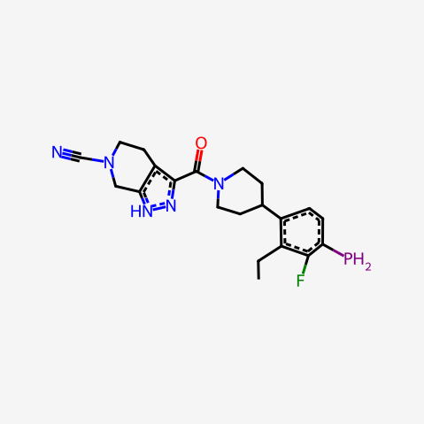 CCc1c(C2CCN(C(=O)c3n[nH]c4c3CCN(C#N)C4)CC2)ccc(P)c1F